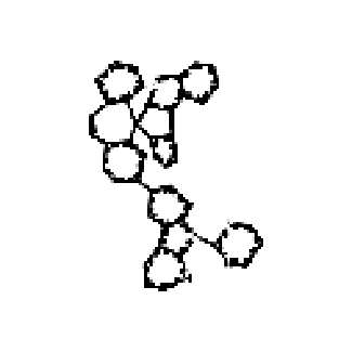 C1=Cc2ccc(-c3ccc4c(c3)c3cccnc3n4-c3ncccn3)cc2C2(c3ccccc31)c1ccccc1-c1c2ccc2ccccc12